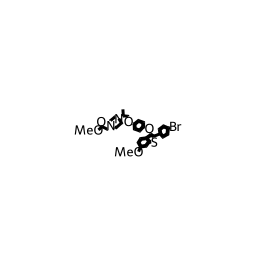 COC(=O)CN1CCN(C(C)COc2ccc(Oc3c(-c4ccc(Br)cc4)sc4cc(OC)ccc34)cc2)CC1